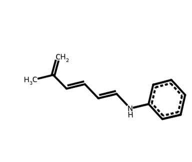 C=C(C)/C=C/C=C/Nc1ccccc1